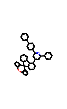 c1ccc(-c2ccc(-c3cc(-c4cccc5c4-c4ccccc4C54c5ccccc5Oc5ccccc54)cc(-c4ccccc4)n3)cc2)cc1